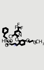 COCCOc1ccc(/C=C/CS(=O)(=O)NCCc2ccccc2)c(Oc2ncc(C(F)(F)F)cc2Cl)c1